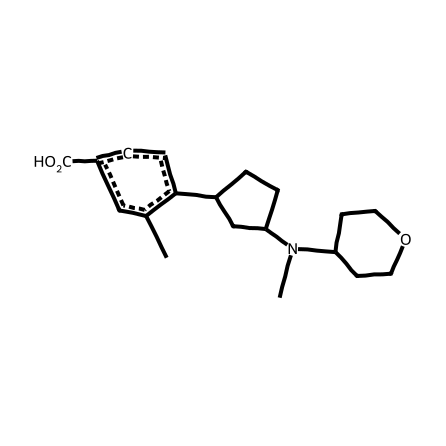 Cc1cc(C(=O)O)ccc1C1CCC(N(C)C2CCOCC2)C1